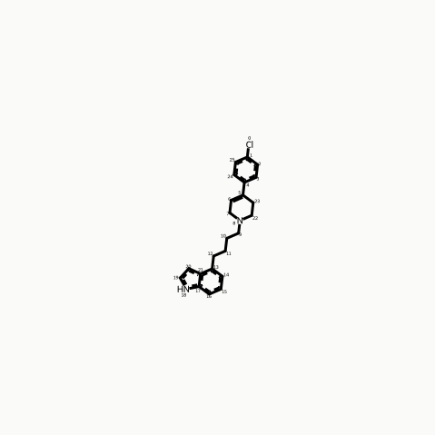 Clc1ccc(C2=CCN(CCCCc3cccc4[nH]ccc34)CC2)cc1